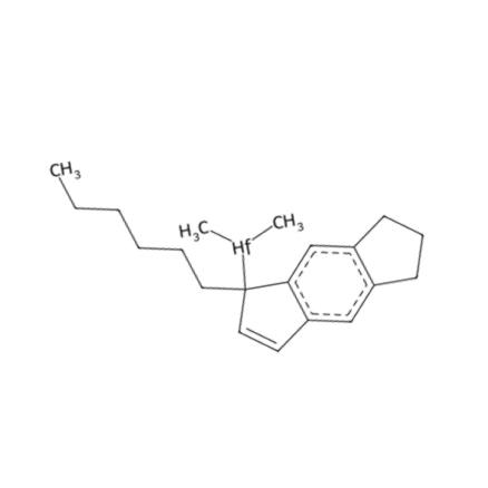 CCCCCC[C]1([Hf]([CH3])[CH3])C=Cc2cc3c(cc21)CCC3